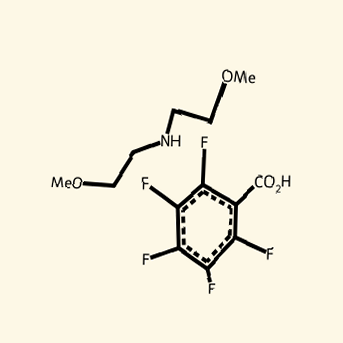 COCCNCCOC.O=C(O)c1c(F)c(F)c(F)c(F)c1F